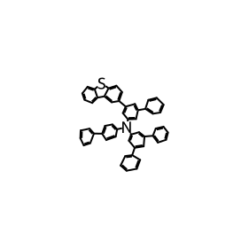 c1ccc(-c2ccc(N(c3cc(-c4ccccc4)cc(-c4ccccc4)c3)c3cc(-c4ccccc4)cc(-c4ccc5sc6ccccc6c5c4)c3)cc2)cc1